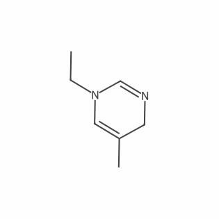 CCN1C=NCC(C)=C1